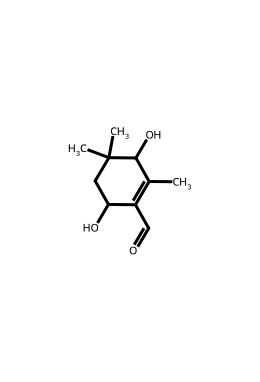 CC1=C(C=O)C(O)CC(C)(C)C1O